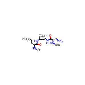 CC(C)N[C@@H](CCC(=O)O)C(=O)NC(CCNC(=O)[C@H](CN)NC(C)(C)C)C(=O)O